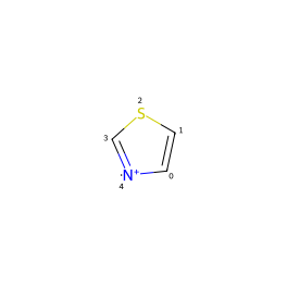 C1=CSC=[N+]1